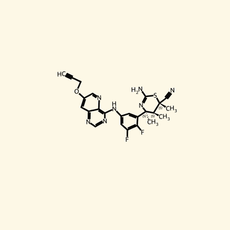 C#CCOc1cnc2c(Nc3cc(F)c(F)c([C@@]4(C)N=C(N)S[C@](C)(C#N)[C@H]4C)c3)ncnc2c1